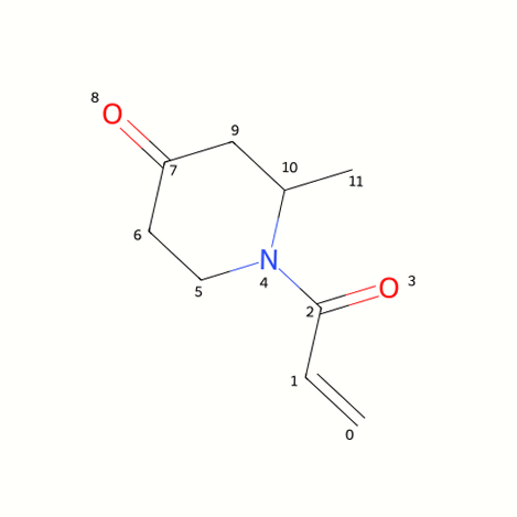 C=CC(=O)N1CCC(=O)CC1C